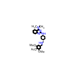 COc1cc(CNC[C@H]2CC[C@@H](Nc3nc(N(C)C)c4ccccc4n3)CC2)cc(OC)c1OC(C)=O